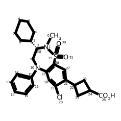 CN1[C@@H](C2CCCCC2)CN(c2ccccc2)c2cc(Cl)c(C3CC(C(=O)O)C3)cc2S1(=O)=O